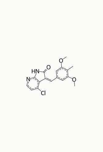 COc1cc(C=C2C(=O)Nc3nccc(Cl)c32)cc(OC)c1C